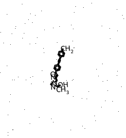 [CH2]c1ccc(C#Cc2ccc(-c3cc(Cn4ccnc4[C@H](C)O)no3)cc2)cc1